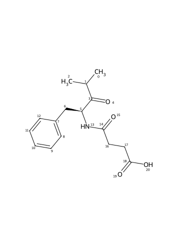 CC(C)C(=O)[C@H](Cc1ccccc1)NC(=O)CCC(=O)O